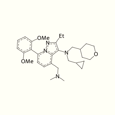 CCc1nn2c(-c3c(OC)cccc3OC)ccc(CN(C)C)c2c1N(CC1CCOCC1)CC1CC1